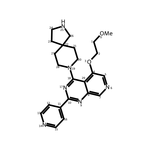 COCCOc1cncc2nc(-c3ccncc3)nc(N3CCC4(CCNC4)CC3)c12